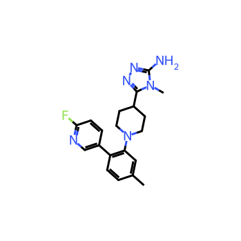 Cc1ccc(-c2ccc(F)nc2)c(N2CCC(c3nnc(N)n3C)CC2)c1